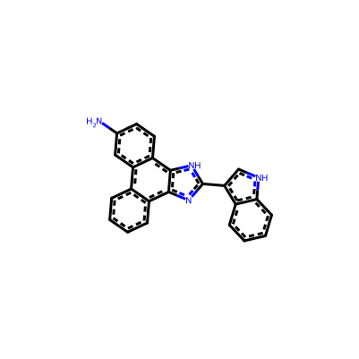 Nc1ccc2c(c1)c1ccccc1c1nc(-c3c[nH]c4ccccc34)[nH]c21